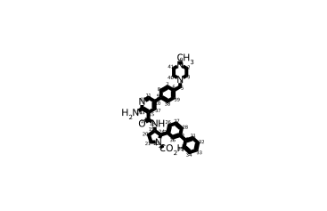 CN1CCN(Cc2ccc(-c3cnc(N)c(C(=O)NC4CCN(C(=O)O)C4c4cccc(-c5ccccc5)c4)c3)cc2)CC1